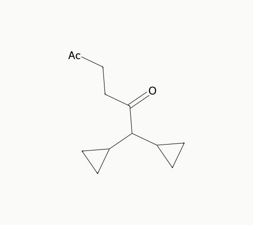 CC(=O)CCC(=O)C(C1CC1)C1CC1